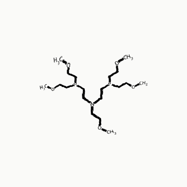 COCCN(CCP(CCOC)CCOC)CCP(CCOC)CCOC